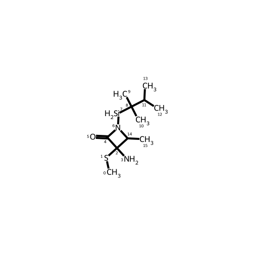 CSC1(N)C(=O)N([SiH2]C(C)(C)C(C)C)C1C